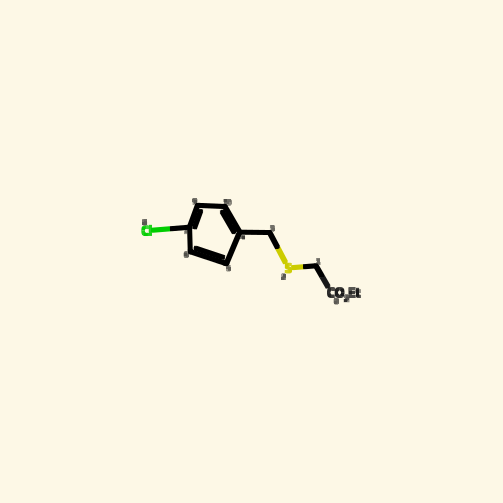 CCOC(=O)CSCc1ccc(Cl)cc1